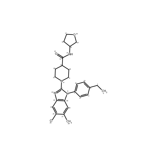 CCc1ccc(-n2c(N3CCC(C(=O)NC4CCOC4)CC3)nc3cc(Cl)c(C)cc32)cc1